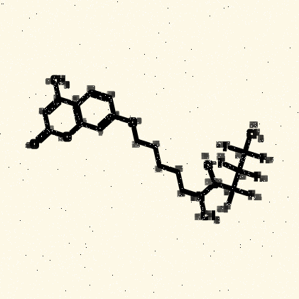 Cc1cc(=O)oc2cc(OCCCCCN(C)[S+]([O-])C(F)(F)C(F)(F)C(F)(F)C(F)(F)F)ccc12